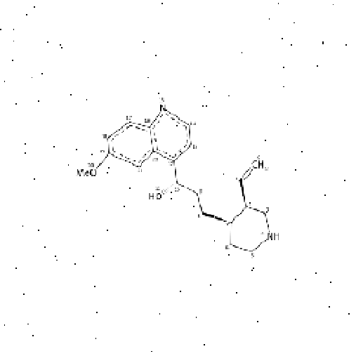 C=C[C@H]1CNCC[C@H]1CC[C@H](O)c1ccnc2ccc(OC)cc12